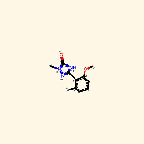 COc1cccc(C)c1-c1nn(C)c(=O)[nH]1